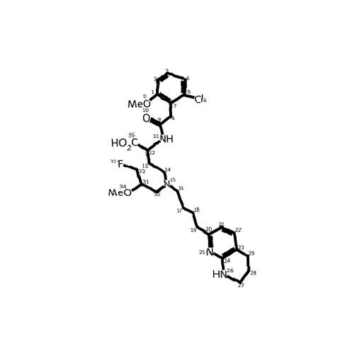 COc1cccc(Cl)c1CC(=O)NC(CCN(CCCCc1ccc2c(n1)NCCC2)CC(CF)OC)C(=O)O